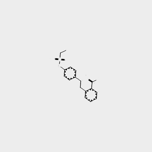 CCS(=O)(=O)Nc1ccc(CCc2ccccc2C(=O)O)cc1